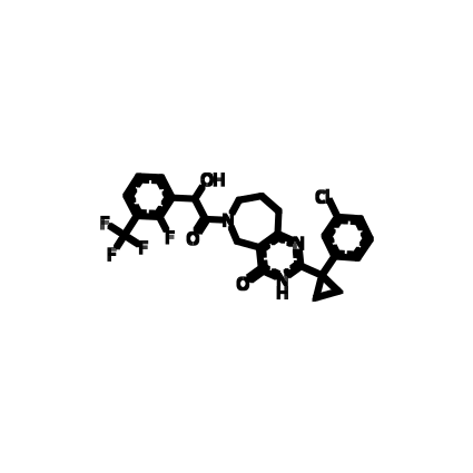 O=C(C(O)c1cccc(C(F)(F)F)c1F)N1CCCc2nc(C3(c4cccc(Cl)c4)CC3)[nH]c(=O)c2C1